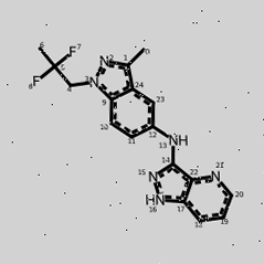 Cc1nn(CC(C)(F)F)c2ccc(Nc3n[nH]c4cccnc34)cc12